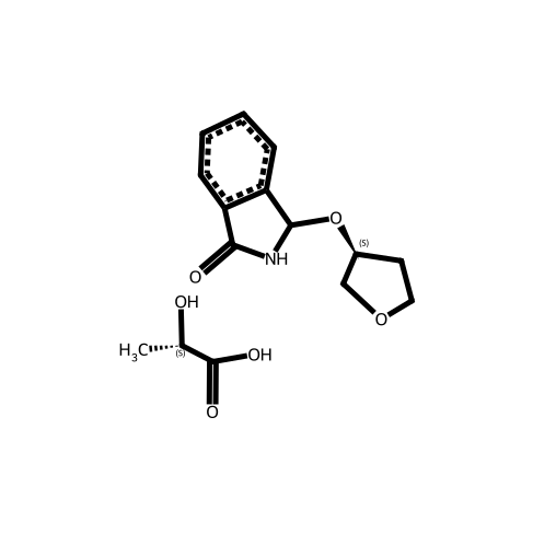 C[C@H](O)C(=O)O.O=C1NC(O[C@H]2CCOC2)c2ccccc21